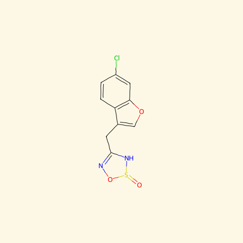 O=S1NC(Cc2coc3cc(Cl)ccc23)=NO1